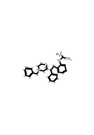 CC(C)Oc1ccccc1CC(c1ccccc1)[C@@H]1CN(Cc2ccccc2)CCO1